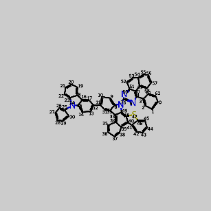 c1ccc(-c2nc(-n3c4ccc(-c5ccc6c(c5)c5ccccc5n6-c5ccccc5)cc4c4c5ccccc5c5c6ccccc6sc5c43)nc3ccc4ccccc4c23)cc1